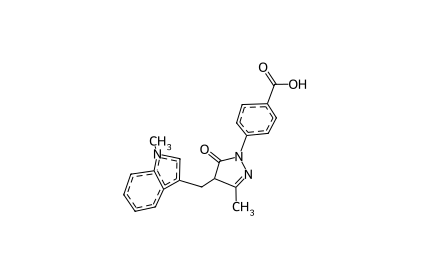 CC1=NN(c2ccc(C(=O)O)cc2)C(=O)C1Cc1cn(C)c2ccccc12